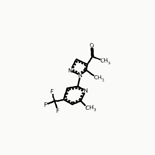 CC(=O)c1cnn(-c2cc(C(F)(F)F)cc(C)n2)c1C